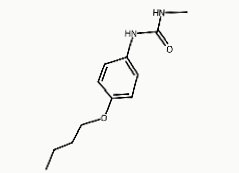 CCCCOc1ccc(NC(=O)NC)cc1